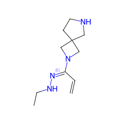 C=C/C(=N\NCC)N1CC2(CCNC2)C1